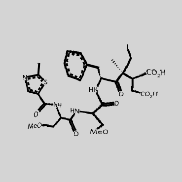 COCC(NC(=O)c1cnc(C)s1)C(=O)NC(COC)C(=O)N[C@@H](Cc1ccccc1)C(=O)[C@@](C)(CI)C(CC(=O)O)C(=O)O